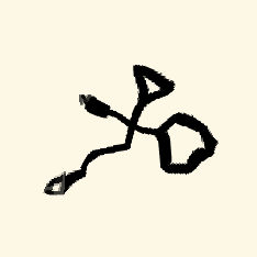 N#CC(CCCCl)(c1ccccc1)C1CC1